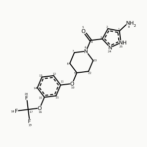 Nc1cc(C(=O)N2CCC(Oc3cccc(OC(F)(F)F)c3)CC2)n[nH]1